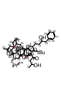 [CH2]C(O)CC(=O)[C@H](CC(C)CCC(O)Cc1ccccc1)N(C)C(=O)[C@H](CC(C)CCC(C)O)N(C)C(=O)[C@H](CC(C)C)N(C)C(C)(C(=O)[C@@H](N)CC(C)C)C(O)Cc1ccc(OC(C)(C)C)cc1